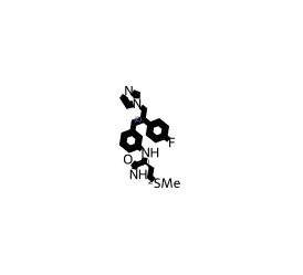 CSCC[C@H](Nc1cccc(/C=C(/Cn2ccnc2)c2ccc(F)cc2)c1)C(N)=O